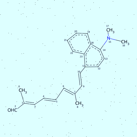 CC(C=O)=CC=CC=C(C)C=Cc1ccc(N(C)C)c2ccccc12